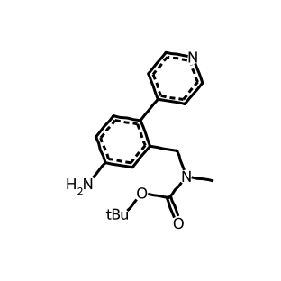 CN(Cc1cc(N)ccc1-c1ccncc1)C(=O)OC(C)(C)C